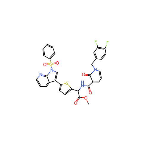 COC(=O)C(NC(=O)c1cccn(Cc2ccc(F)c(F)c2)c1=O)c1ccc(-c2cn(S(=O)(=O)c3ccccc3)c3ncccc23)s1